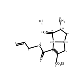 C=CCOC(=O)C1=C(C(=O)OCC)CN2C[C@@H](N)C(=O)N12.Cl